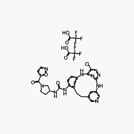 O=C(Nc1ccc2cc1CCc1cncc(c1)Nc1ncc(Cl)c(n1)N2)N[C@H]1CCN(C(=O)c2ccno2)C1.O=C(O)C(F)(F)F.O=C(O)C(F)(F)F